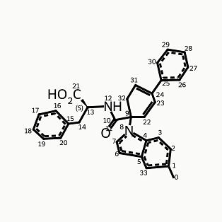 Cc1ccc2c(ccn2C2(C(=O)N[C@@H](Cc3ccccc3)C(=O)O)C=CC(c3ccccc3)=CC2)c1